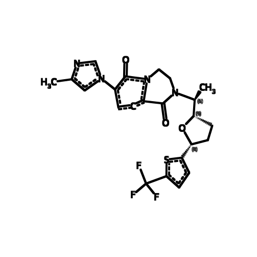 Cc1cn(-c2ccc3n(c2=O)CCN([C@@H](C)[C@@H]2CC[C@H](c4ccc(C(F)(F)F)s4)O2)C3=O)cn1